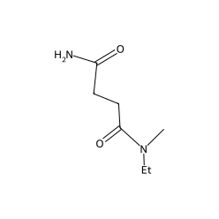 CCN(C)C(=O)CCC(N)=O